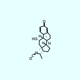 CC(N=C=O)[C@H]1CC[C@H]2[C@@H]3CCC4=CC(=O)C=C[C@]4(C)[C@H]3[C@@H](O)C[C@]12C